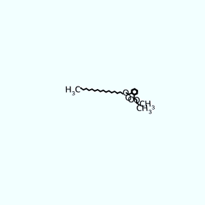 CCCCCCCCCCCCCCCCCOC(=O)c1ccccc1C(=O)OCC(C)C